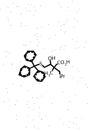 CC(C)CC(C)(C(=O)O)C(O)CSC(c1ccccc1)(c1ccccc1)c1ccccc1